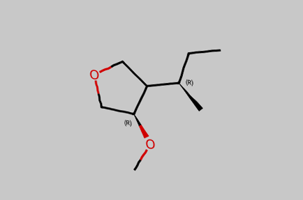 CC[C@@H](C)C1COC[C@@H]1OC